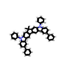 CC1(C)c2cc3c(cc2-c2cc4c5cc(-c6ccccc6)ccc5n(-c5ccccc5)c4cc21)c1cc(-c2ccccc2)ccc1n3-c1ccccc1